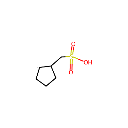 O=S(=O)(O)CC1[CH]CCC1